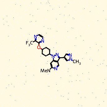 CNc1cc2c(cn1)c(-c1cnn(C)c1)nn2C1CCC(Oc2nccnc2C(F)(F)F)CC1